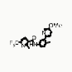 COc1ccc(-c2cc(NC(=O)c3ccc(C(F)(F)F)nc3C)ccc2C)nc1